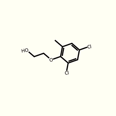 Cc1cc(Cl)cc(Cl)c1OCCO